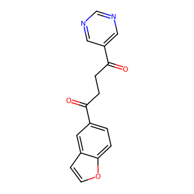 O=C(CCC(=O)c1ccc2occc2c1)c1cncnc1